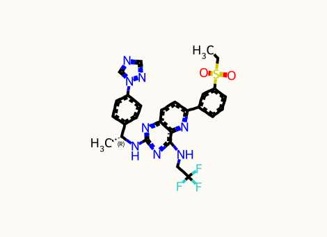 CCS(=O)(=O)c1cccc(-c2ccc3nc(N[C@H](C)c4ccc(-n5cncn5)cc4)nc(NCC(F)(F)F)c3n2)c1